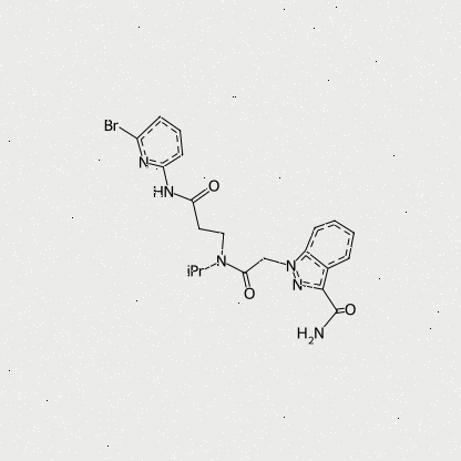 CC(C)N(CCC(=O)Nc1cccc(Br)n1)C(=O)Cn1nc(C(N)=O)c2ccccc21